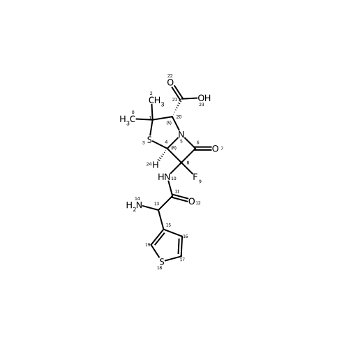 CC1(C)S[C@H]2N(C(=O)C2(F)NC(=O)C(N)c2ccsc2)[C@H]1C(=O)O